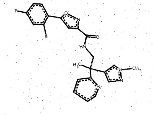 Cn1cc(C(C)(CNC(=O)c2cc(-c3ccc(F)cc3F)on2)c2ccccn2)cn1